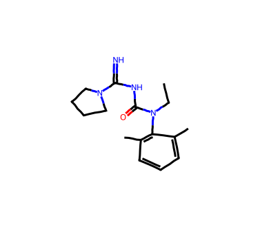 CCN(C(=O)NC(=N)N1CCCC1)c1c(C)cccc1C